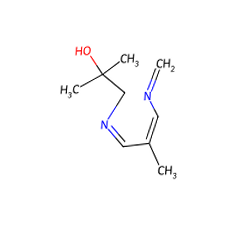 C=N/C=C(C)\C=N/CC(C)(C)O